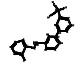 Cc1ccccc1CNc1ccnc(-c2cncc(C(F)(F)F)c2)n1